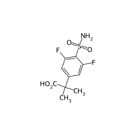 CC(C)(C(=O)O)c1cc(F)c(S(N)(=O)=O)c(F)c1